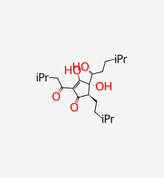 CC(C)CC[C@H](O)[C@]1(O)C(O)=C(C(=O)CC(C)C)C(=O)[C@@H]1CCC(C)C